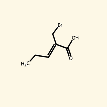 CCC=C(CBr)C(=O)O